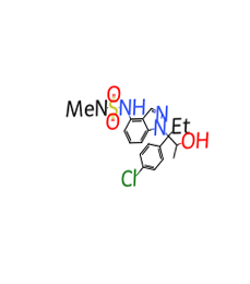 CCC(c1ccc(Cl)cc1)(C(C)O)n1ncc2c(NS(=O)(=O)NC)cccc21